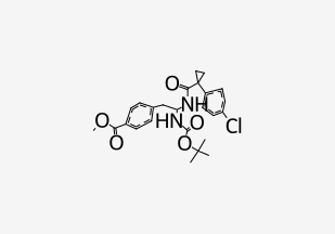 COC(=O)c1ccc(CC(NC(=O)OC(C)(C)C)NC(=O)C2(c3ccc(Cl)cc3)CC2)cc1